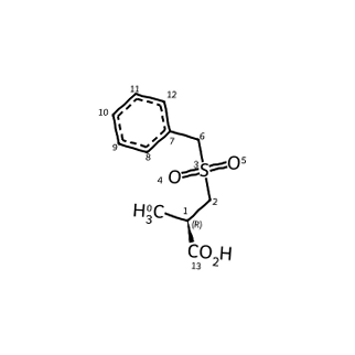 C[C@@H](CS(=O)(=O)Cc1ccccc1)C(=O)O